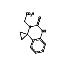 O=C(O)CN1C(=O)Nc2ccccc2C12CC2